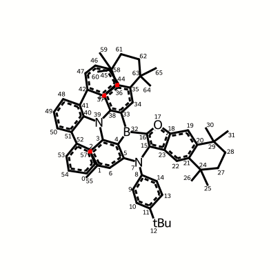 Cc1cc2c3c(c1)N(c1ccc(C(C)(C)C)cc1)c1c(oc4cc5c(cc14)C(C)(C)CCC5(C)C)B3c1cc3c(cc1N2c1c(-c2ccccc2)cccc1-c1ccccc1)C(C)(C)CCC3(C)C